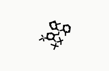 Cc1ccccc1P(Cc1ccc([Si](C)(C)C)cc1P(C(C)(C)C)C(C)(C)C)c1ccccc1C